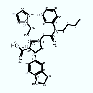 CCCCN(C(=O)CN1C[C@H](c2ccc3c(c2)CCO3)[C@@H](C(=O)O)[C@@H]1CCn1cccn1)c1cccnc1